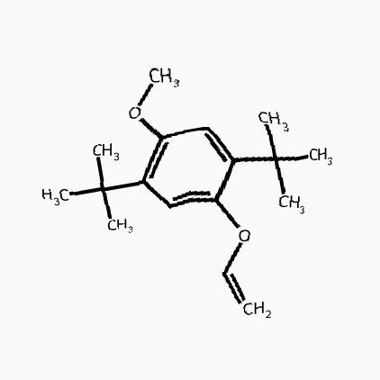 C=COc1cc(C(C)(C)C)c(OC)cc1C(C)(C)C